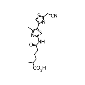 Cc1nc(NC(=O)CCCC(C)C(=O)O)sc1-c1csc(CC#N)n1